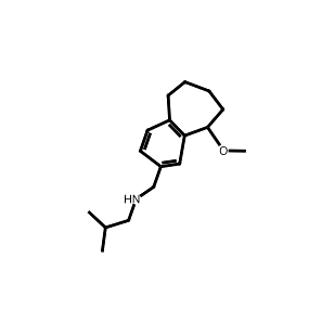 COC1CCCCc2ccc(CNCC(C)C)cc21